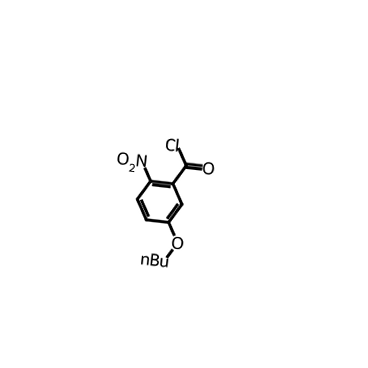 CCCCOc1ccc([N+](=O)[O-])c(C(=O)Cl)c1